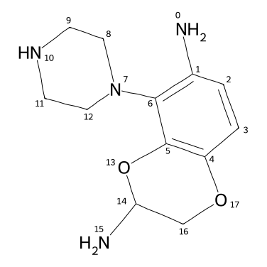 Nc1ccc2c(c1N1CCNCC1)OC(N)CO2